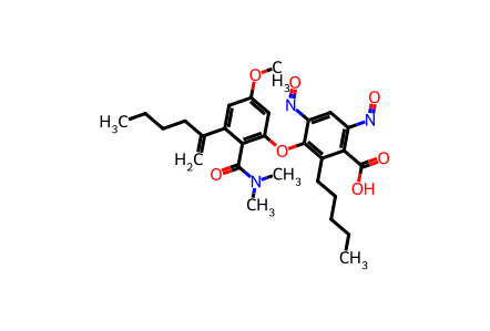 C=C(CCCC)c1cc(OC)cc(Oc2c(N=O)cc(N=O)c(C(=O)O)c2CCCCC)c1C(=O)N(C)C